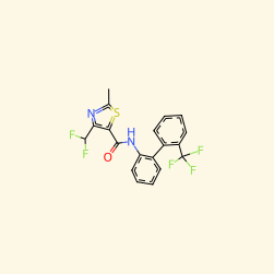 Cc1nc(C(F)F)c(C(=O)Nc2ccccc2-c2ccccc2C(F)(F)F)s1